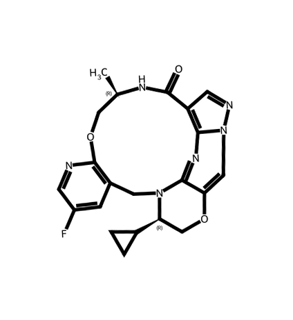 C[C@@H]1COc2ncc(F)cc2CN2c3nc4c(cnn4cc3OC[C@H]2C2CC2)C(=O)N1